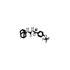 O=S(=O)(NC(=S)NC12CC3CC(CC(C3)C1)C2)c1ccc(OC(F)(F)F)cc1